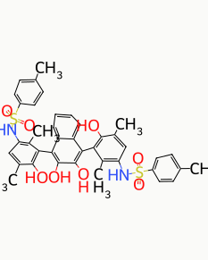 Cc1ccc(S(=O)(=O)Nc2cc(C)c(O)c(-c3c(O)c(O)c(-c4c(C)c(NS(=O)(=O)c5ccc(C)cc5)cc(C)c4O)c4ccccc34)c2C)cc1